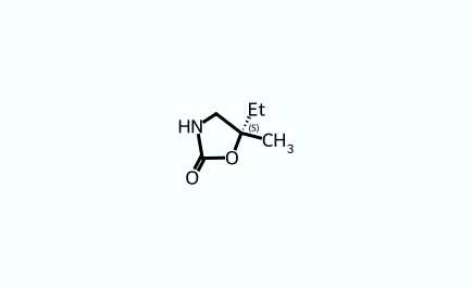 CC[C@@]1(C)CNC(=O)O1